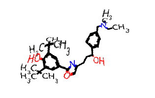 CCN(C)Cc1ccc(C(O)CCc2coc(-c3cc(C(C)(C)C)c(O)c(C(C)(C)C)c3)n2)cc1